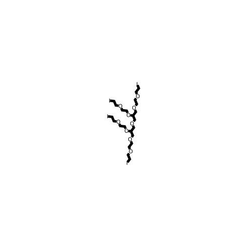 ICCOCCOCC(COCC(COCCOCCI)OCCOCCI)OCCOCCI